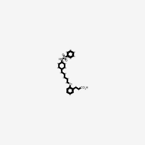 O=C(O)CCc1ccccc1OCCCCCC1CCC(NS(=O)(=O)c2ccccc2)CC1